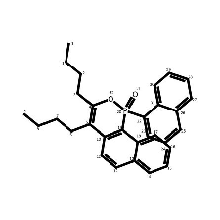 CCCCC1=C(CCCC)c2ccc3ccccc3c2P(=O)(c2cccc3ccccc23)O1